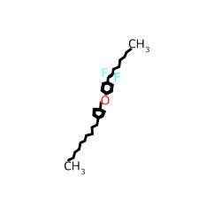 CCCCCCCCCCCc1ccc(COc2ccc(C(F)=C(F)CCCCCCC)cc2)cc1